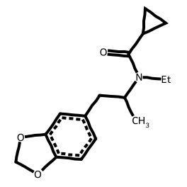 CCN(C(=O)C1CC1)C(C)Cc1ccc2c(c1)OCO2